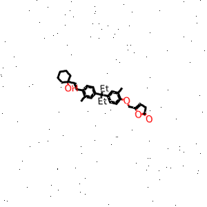 CCC(CC)(c1ccc(C=CC2(O)CCCCC2)c(C)c1)c1ccc(OCC2=CCC(=O)O2)c(C)c1